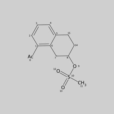 CC(=O)c1cccc2c1CC(OS(C)(=O)=O)CC2